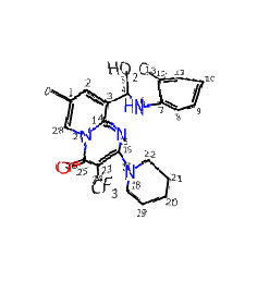 Cc1cc(C(C)Nc2ccccc2C(=O)O)c2nc(N3CCCCC3)c(C(F)(F)F)c(=O)n2c1